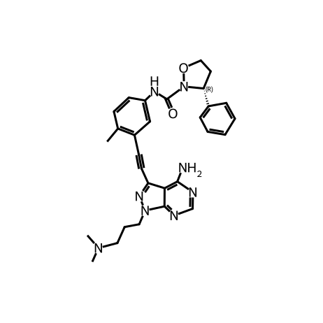 Cc1ccc(NC(=O)N2OCC[C@@H]2c2ccccc2)cc1C#Cc1nn(CCCN(C)C)c2ncnc(N)c12